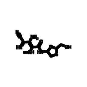 CN/C(C(=O)NC1CSC(CO)O1)=C(/N)C(=N)C#N